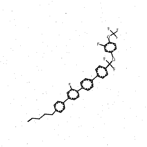 CCCCCc1ccc(-c2ccc(-c3ccc(-c4ccc(C(F)(F)Oc5ccc(OC(F)(F)F)c(F)c5)cc4)cc3)c(F)c2)cc1